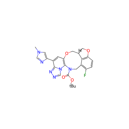 Cn1cnc(-c2cc3c(n4cnnc24)N(C(=O)OC(C)(C)C)Cc2c(F)ccc4c2[C@H](CO4)CO3)c1